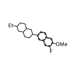 CCC1CCC2CC(c3ccc4cc(OC)c(F)cc4c3)CCC2C1